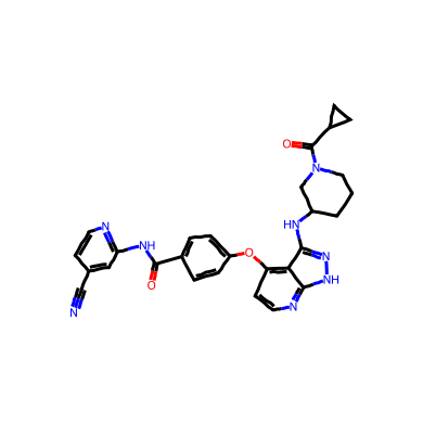 N#Cc1ccnc(NC(=O)c2ccc(Oc3ccnc4[nH]nc(NC5CCCN(C(=O)C6CC6)C5)c34)cc2)c1